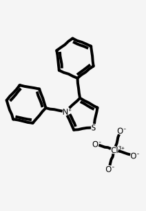 [O-][Cl+3]([O-])([O-])[O-].c1ccc(-c2csc[n+]2-c2ccccc2)cc1